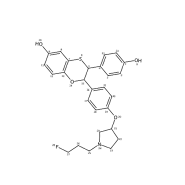 Oc1ccc(C2Sc3cc(O)ccc3OC2c2ccc(OC3CCN(CCCF)C3)cc2)cc1